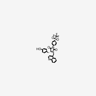 O=C1[C@@H](Cc2ccc(O)cc2)N(Cc2ccnc3ccccc23)C(=O)N1c1ccc(S(=O)(=O)C(F)(F)F)cc1